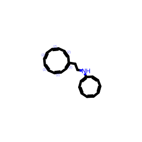 C1=C\C=C/C=C\C(CCNc2ccccccccc2)=C/C=C\C=C/1